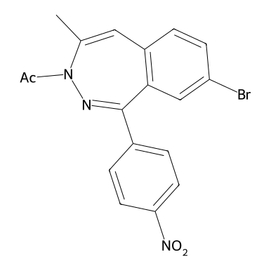 CC(=O)N1N=C(c2ccc([N+](=O)[O-])cc2)c2cc(Br)ccc2C=C1C